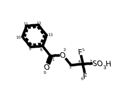 O=C(OCC(F)(F)S(=O)(=O)O)c1ccccc1